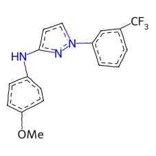 COc1ccc(Nc2ccn(-c3cccc(C(F)(F)F)c3)n2)cc1